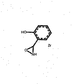 Oc1ccccc1C1NO1.[Zr]